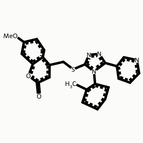 COc1ccc2c(CSc3nnc(-c4cccnc4)n3-c3ccccc3C)cc(=O)oc2c1